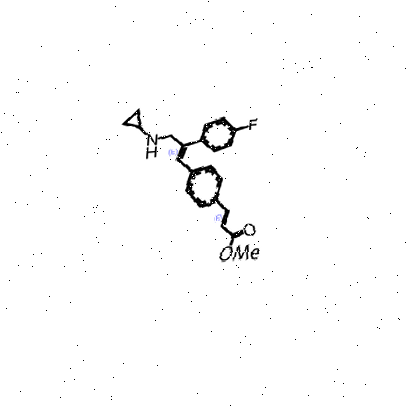 COC(=O)/C=C/c1ccc(/C=C(/CNC2CC2)c2ccc(F)cc2)cc1